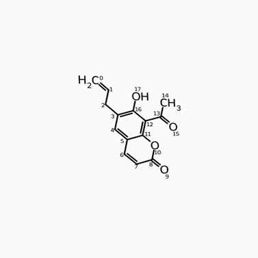 C=CCc1cc2ccc(=O)oc2c(C(C)=O)c1O